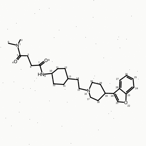 CN(C)C(=O)CCC(=O)NC1CCC(CCN2CCC(c3coc4ccccc34)CC2)CC1